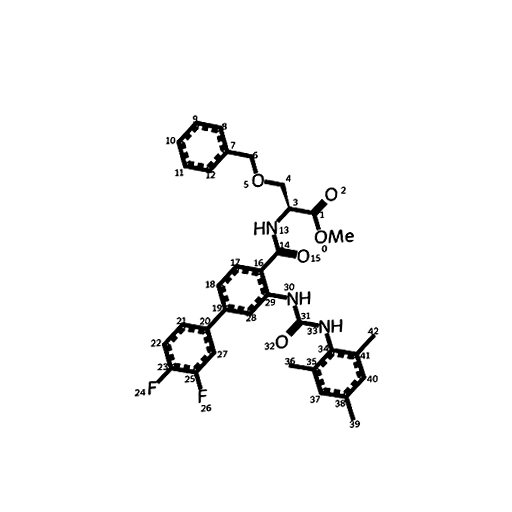 COC(=O)[C@H](COCc1ccccc1)NC(=O)c1ccc(-c2ccc(F)c(F)c2)cc1NC(=O)Nc1c(C)cc(C)cc1C